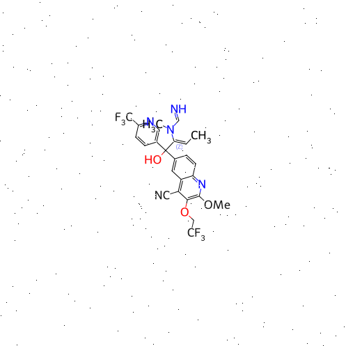 C/C=C(\N(C)C=N)C(O)(c1ccc(C(F)(F)F)nc1)c1ccc2nc(OC)c(OCC(F)(F)F)c(C#N)c2c1